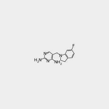 Nc1ncc(CN2CCc3ccc(F)cc32)c(N)n1